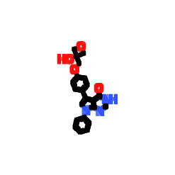 O=c1[nH]cnc2c1c(-c1ccc(OCC3(O)COC3)cc1)cn2-c1ccccc1